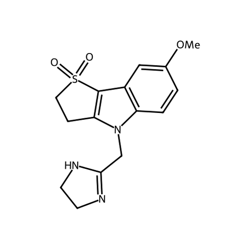 COc1ccc2c(c1)c1c(n2CC2=NCCN2)CCS1(=O)=O